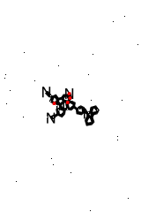 N#Cc1cc(-c2ccc(-n3c4ccccc4c4ccccc43)cc2)cc(-c2ccc(C#N)cc2-n2c3ccccc3c3cc(C#N)ccc32)c1